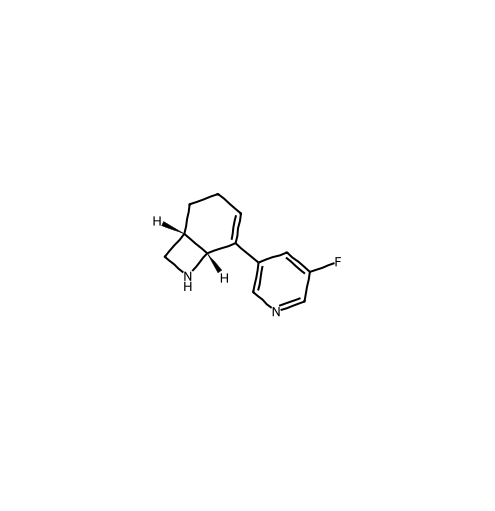 Fc1cncc(C2=CCC[C@H]3CN[C@@H]23)c1